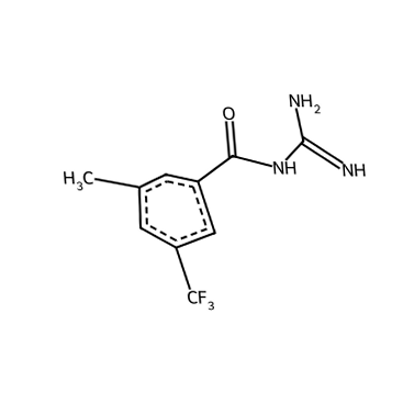 Cc1cc(C(=O)NC(=N)N)cc(C(F)(F)F)c1